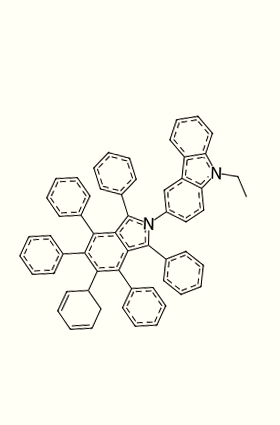 CCn1c2ccccc2c2cc(-n3c(-c4ccccc4)c4c(-c5ccccc5)c(-c5ccccc5)c(C5C=CC=CC5)c(-c5ccccc5)c4c3-c3ccccc3)ccc21